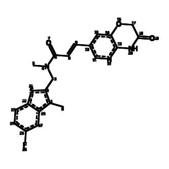 Cc1c(CN(C)C(=O)/C=C/c2cnc3c(c2)OCC(=O)N3)sc2ccc(F)cc12